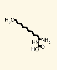 CCCCCCCCCCC(N)NC(=O)O